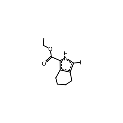 CCOC(=O)c1[nH]c(I)c2c1CCCC2